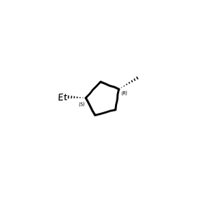 CC[C@H]1CC[C@@H](C)C1